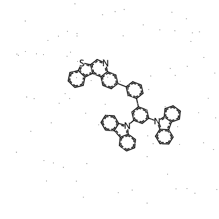 c1cc(-c2cc(-n3c4ccccc4c4ccccc43)cc(-n3c4ccccc4c4ccccc43)c2)cc(-c2ccc3c(c2)ncc2sc4ccccc4c23)c1